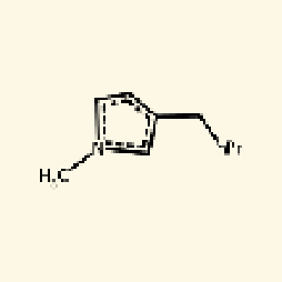 CCCCc1ccn(C)c1